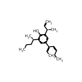 C=C[C@@H](C)c1cc(C(/C=C\CC)=C/C)cc([C@H](C)CCC)c1O